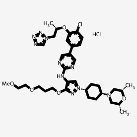 COCCOCCCOc1nn([C@H]2CC[C@H](N3C[C@@H](C)O[C@@H](C)C3)CC2)cc1Nc1ncc(-c2ccc(Cl)c(O[C@@H](C)Cn3cnnn3)c2)cn1.Cl